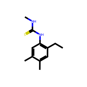 CCc1cc(C)c(C)cc1NC(=S)NC